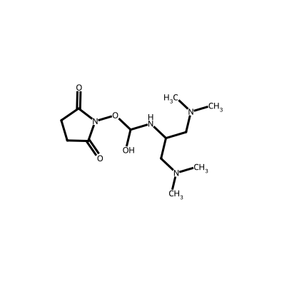 CN(C)CC(CN(C)C)NC(O)ON1C(=O)CCC1=O